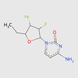 CCC1OC(n2ccc(N)nc2=O)C(F)C1[18F]